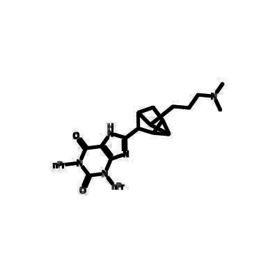 CCCn1c(=O)c2[nH]c(C3C4CC5C(C4CCCN(C)C)C53)nc2n(CCC)c1=O